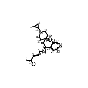 CC(=O)/C=C/C/N=C1\CC2(CCN(C3CC3)CC2)Oc2cnccc21